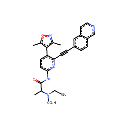 Cc1noc(C)c1-c1ccc(NC(=O)C(C)N(CC(C)(C)C)C(=O)O)nc1C#Cc1ccc2cnccc2c1